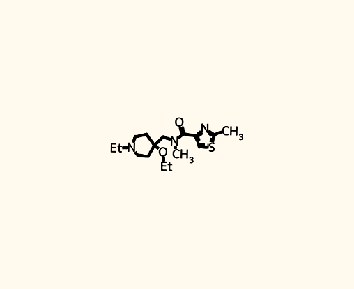 CCOC1(CN(C)C(=O)c2csc(C)n2)CCN(CC)CC1